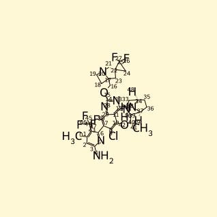 Cc1cc(N)nc(-c2c(Cl)c3c4c(nc(OCC56CCN5C[C@@]5(C6)CC5(F)F)nc4c2F)N2C[C@H]4CC[C@H](N4)[C@H]2[C@H](C)O3)c1C(F)(F)F